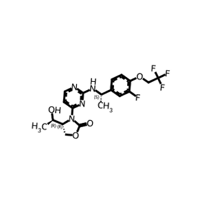 C[C@H](Nc1nccc(N2C(=O)OC[C@@H]2[C@@H](C)O)n1)c1ccc(OCC(F)(F)F)c(F)c1